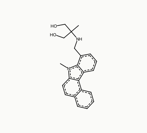 Cn1c2ccc3ccccc3c2c2cccc(CNC(C)(CO)CO)c21